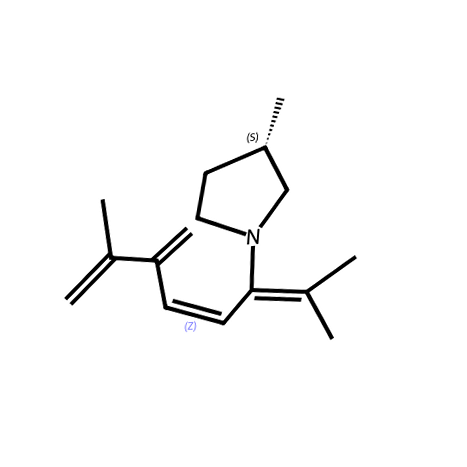 C=C(C)C(=C)/C=C\C(=C(C)C)N1CC[C@H](C)C1